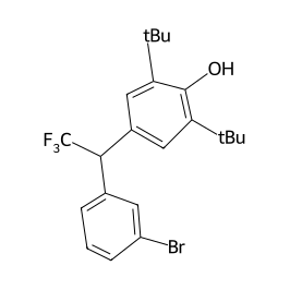 CC(C)(C)c1cc(C(c2cccc(Br)c2)C(F)(F)F)cc(C(C)(C)C)c1O